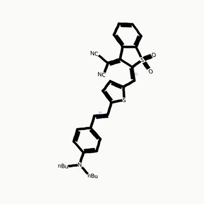 CCCCN(CCCC)c1ccc(/C=C/c2ccc(/C=C3\C(=C(C#N)C#N)c4ccccc4S3(=O)=O)s2)cc1